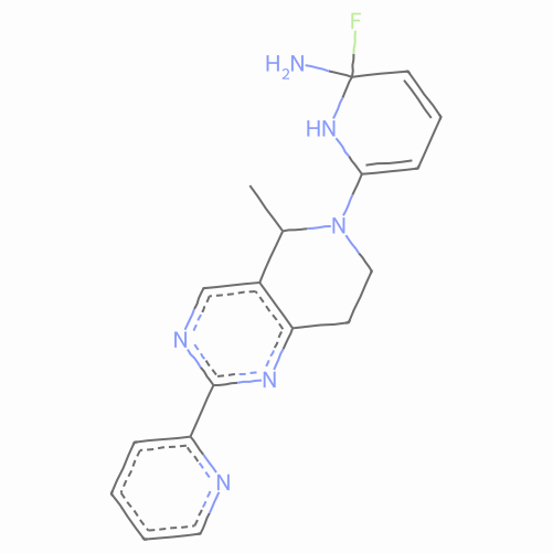 CC1c2cnc(-c3ccccn3)nc2CCN1C1=CC=CC(N)(F)N1